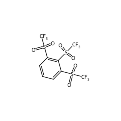 O=S(=O)(c1cccc(S(=O)(=O)C(F)(F)F)c1S(=O)(=O)C(F)(F)F)C(F)(F)F